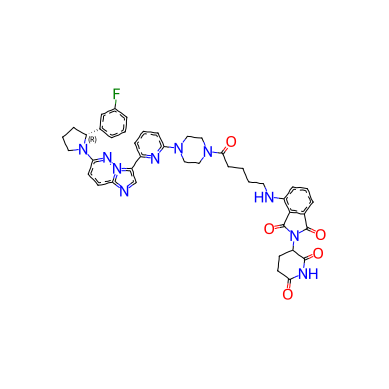 O=C1CCC(N2C(=O)c3cccc(NCCCCC(=O)N4CCN(c5cccc(-c6cnc7ccc(N8CCC[C@@H]8c8cccc(F)c8)nn67)n5)CC4)c3C2=O)C(=O)N1